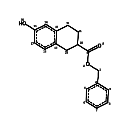 O=C(OCc1ccccc1)C1CCc2cc(O)ccc2C1